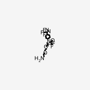 NCCOCCOCCN(C(=O)C(F)(F)F)c1ccc(C2(C(F)(F)F)N=N2)cc1